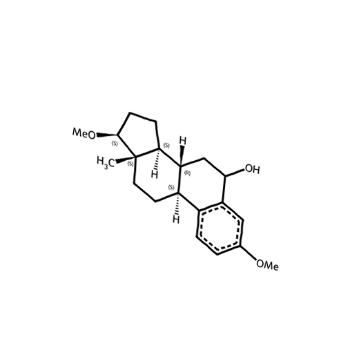 COc1ccc2c(c1)C(O)C[C@@H]1[C@@H]2CC[C@]2(C)[C@@H](OC)CC[C@@H]12